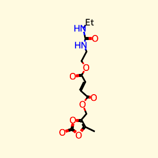 CCNC(=O)NCCOC(=O)/C=C/C(=O)OCc1oc(=O)oc1C